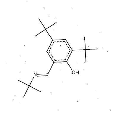 CC(C)(C)/N=C/c1cc(C(C)(C)C)cc(C(C)(C)C)c1O